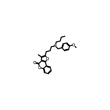 CCCCN(CCCc1oc2c(c1C)c(=O)oc1ccccc12)Cc1ccc(OC)cc1